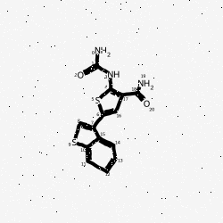 NC(=O)Nc1sc(-c2csc3ccccc23)cc1C(N)=O